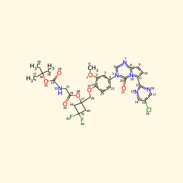 COc1cc(-n2cnc3ccc(-c4ncc(Cl)cn4)n3c2=O)ccc1OCC1(OC(=O)CNC(=O)OC(C)(C)C)CC(F)(F)C1